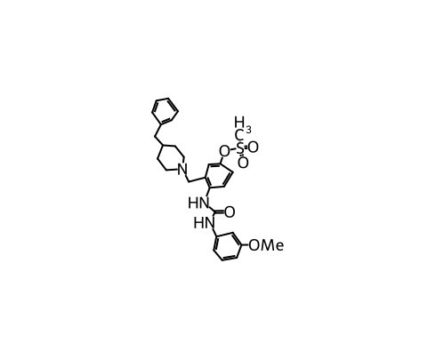 COc1cccc(NC(=O)Nc2ccc(OS(C)(=O)=O)cc2CN2CCC(Cc3ccccc3)CC2)c1